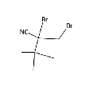 CC(C)(C)C(Br)(C#N)CBr